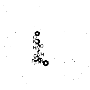 O=C(NCCNC(=O)c1cn(-c2ccccc2)nc1C(F)(F)F)c1ccc(OC2CCCC2)nc1